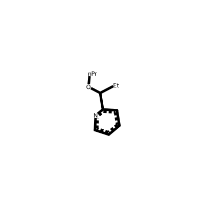 CCCOC(CC)c1ccccn1